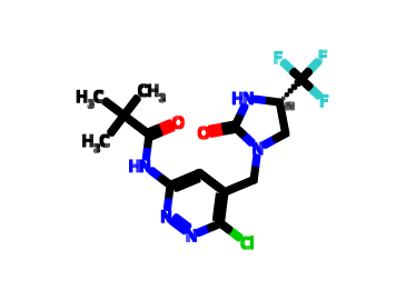 CC(C)(C)C(=O)Nc1cc(CN2C[C@@H](C(F)(F)F)NC2=O)c(Cl)nn1